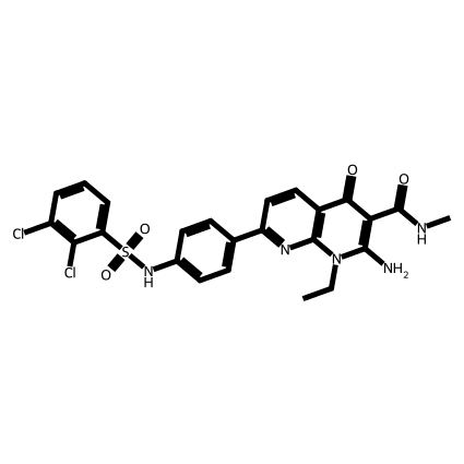 CCn1c(N)c(C(=O)NC)c(=O)c2ccc(-c3ccc(NS(=O)(=O)c4cccc(Cl)c4Cl)cc3)nc21